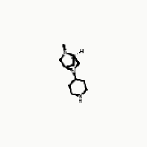 CN1CC2C[C@@H]1CN2C1CCNCC1